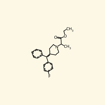 CCOC(=O)C(C)N1CCC(=C(c2ccccc2)c2ccc(F)cc2)CC1